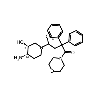 CC(CC(C(=O)N1CCOCC1)(c1ccccc1)c1ccccc1)N1CC[C@H](N)[C@@H](O)C1